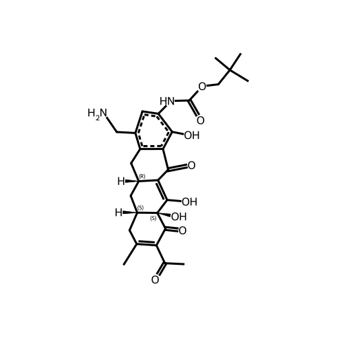 CC(=O)C1=C(C)C[C@@H]2C[C@@H]3Cc4c(CN)cc(NC(=O)OCC(C)(C)C)c(O)c4C(=O)C3=C(O)[C@]2(O)C1=O